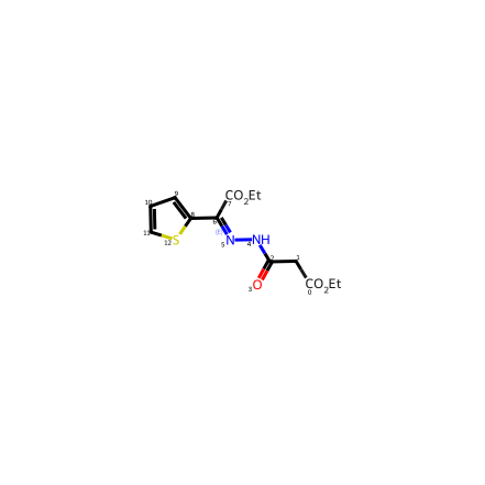 CCOC(=O)CC(=O)N/N=C(\C(=O)OCC)c1cccs1